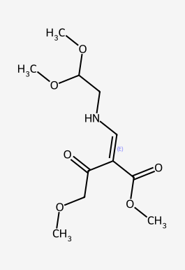 COCC(=O)/C(=C\NCC(OC)OC)C(=O)OC